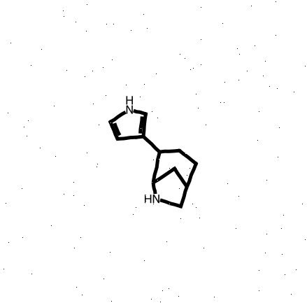 c1cc(C2CCC3CNC2C3)c[nH]1